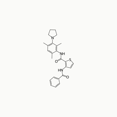 Cc1cc(C)c(N2CCCC2)c(C)c1NC(=O)c1sccc1NC(=O)c1ccccc1